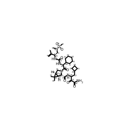 C=C(C)[C@@H](CN(C)S(C)(=O)=O)NC(=O)N[C@H](C(=O)N1C[C@H]2[C@@H]([C@H]1C(=O)NC(CC1CCC1)C(=O)C(N)=O)C2(C)C)C1CCCCC1